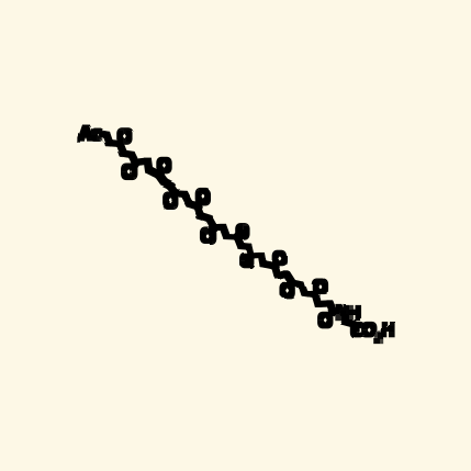 CC(=O)CCC(=O)CCC(=O)CCC(=O)CCC(=O)CCC(=O)CCC(=O)CCC(=O)CCC(=O)CCC(=O)CCC(=O)CCC(=O)CCC(=O)NCCC(=O)O